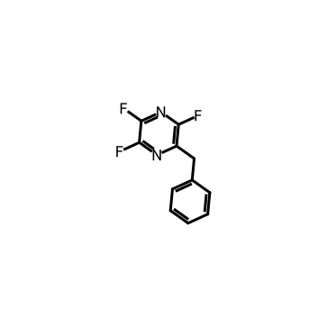 Fc1nc(F)c(Cc2ccccc2)nc1F